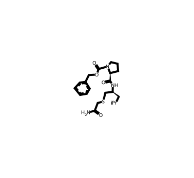 CC(C)C[C@@H](CSCC(N)=O)NC(=O)[C@@H]1CCCN1C(=O)OCc1ccccc1